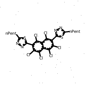 CCCCCc1nnc(-c2c(Cl)c(Cl)c3c(Cl)c(Cl)c(-c4nnc(CCCCC)s4)c(Cl)c3c2Cl)s1